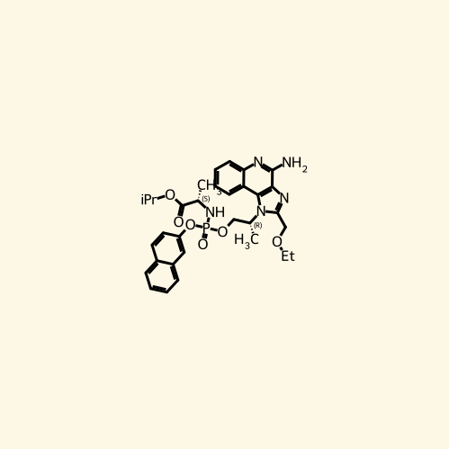 CCOCc1nc2c(N)nc3ccccc3c2n1[C@H](C)COP(=O)(N[C@@H](C)C(=O)OC(C)C)Oc1ccc2ccccc2c1